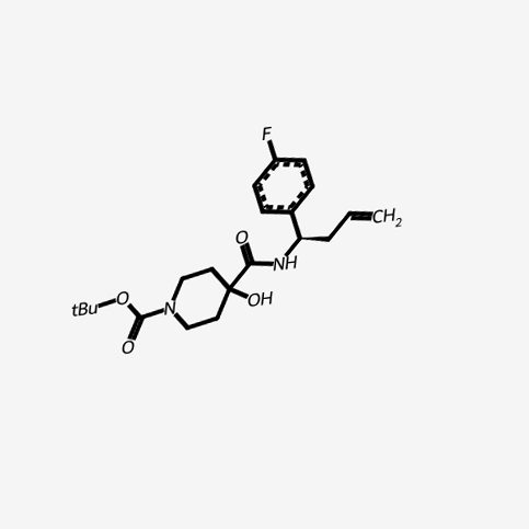 C=CC[C@@H](NC(=O)C1(O)CCN(C(=O)OC(C)(C)C)CC1)c1ccc(F)cc1